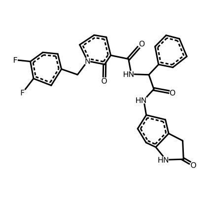 O=C1Cc2cc(NC(=O)C(NC(=O)c3cccn(Cc4ccc(F)c(F)c4)c3=O)c3ccccc3)ccc2N1